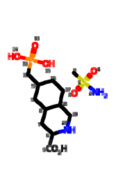 CS(N)(=O)=O.O=C(O)C1CC2CC(CP(=O)(O)O)CCC2CN1